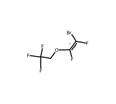 F/C(Br)=C(\F)OCC(F)(F)F